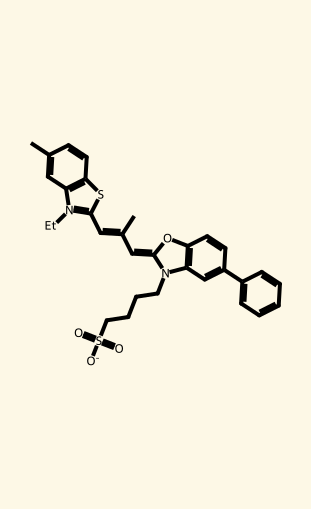 CC[n+]1c(/C=C(C)/C=C2\Oc3ccc(-c4ccccc4)cc3N2CCCCS(=O)(=O)[O-])sc2ccc(C)cc21